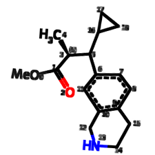 COC(=O)[C@@H](C)C(c1ccc2c(c1)CNCC2)C1CC1